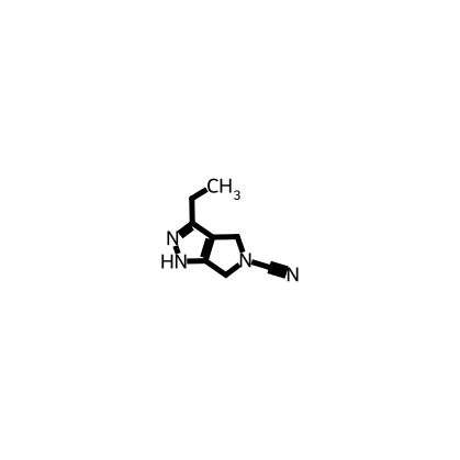 CCc1n[nH]c2c1CN(C#N)C2